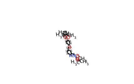 CC(C)(C)OC(=O)NCc1cccc(COc2ccc(B3OC(C)(C)C(C)(C)O3)cc2)c1